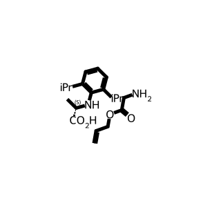 C=CCOC(=O)CN.CC(C)c1cccc(C(C)C)c1N[C@@H](C)C(=O)O